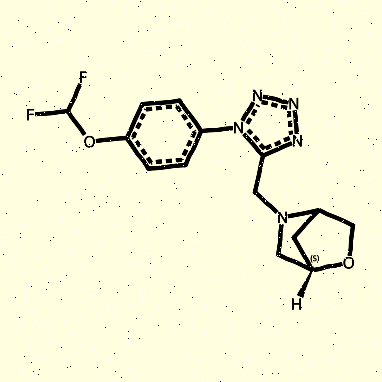 FC(F)Oc1ccc(-n2nnnc2CN2C[C@@H]3CC2CO3)cc1